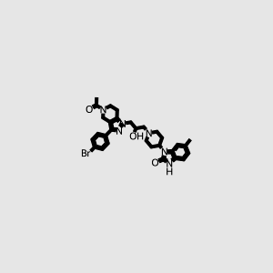 CC(=O)N1CCc2c(c(-c3ccc(Br)cc3)nn2CC(O)CN2CCC(n3c(=O)[nH]c4ccc(C)cc43)CC2)C1